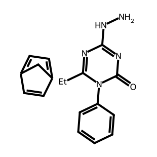 C1=CC2=CC=C1C2.CCc1nc(NN)nc(=O)n1-c1ccccc1